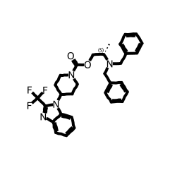 C[C@@H](COC(=O)N1CCC(n2c(C(F)(F)F)nc3ccccc32)CC1)N(Cc1ccccc1)Cc1ccccc1